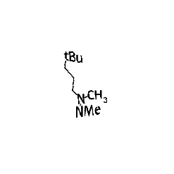 CNN(C)CCCC(C)(C)C